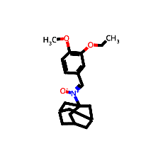 CCOc1cc(C=[N+]([O-])C23CC4CC(CC(C4)C2)C3)ccc1OC